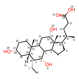 CC[C@H]1[C@@H](O)C2C3CC[C@H]([C@H](C)CCC(=O)O)[C@@]3(C)[C@@H](O)CC2[C@@]2(C)CC[C@@H](O)C[C@@H]12